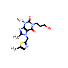 Cc1cnc(Cn2c(C)nc3c2c(=O)n(CCCO)c(=O)n3C)s1